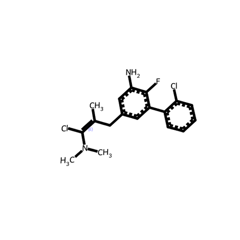 C/C(Cc1cc(N)c(F)c(-c2ccccc2Cl)c1)=C(\Cl)N(C)C